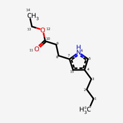 CCCCc1c[nH]c(CCC(=O)OCC)c1